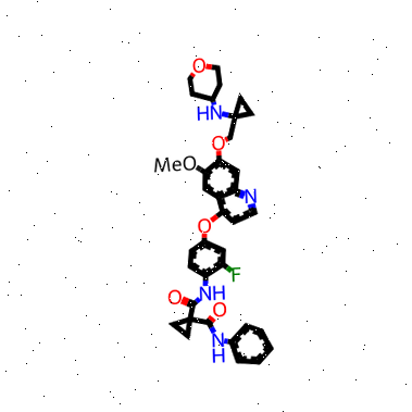 COc1cc2c(Oc3ccc(NC(=O)C4(C(=O)Nc5ccccc5)CC4)c(F)c3)ccnc2cc1OCC1(NC2CCOCC2)CC1